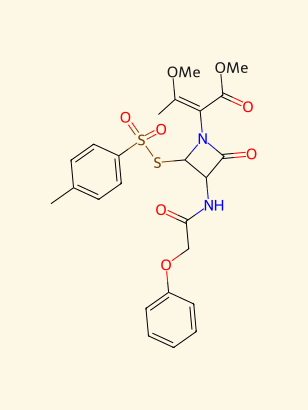 COC(=O)C(=C(C)OC)N1C(=O)C(NC(=O)COc2ccccc2)C1SS(=O)(=O)c1ccc(C)cc1